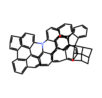 c1ccc(-c2cccc3cccc(-c4ccccc4N(c4ccccc4-c4ccc5c(c4)C4(c6ccccc6-5)C5CC6CC7CC4C675)c4ccccc4-c4cccc5cccc(-c6ccccc6)c45)c23)cc1